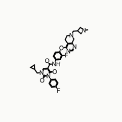 CN1CC(CN2CCc3c(ncnc3Oc3ccc(NC(=O)c4cn(CC5CC5)c(=O)n(-c5ccc(F)cc5)c4=O)cc3F)C2)C1